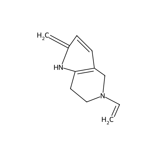 C=CN1CCC2=C(C=CC(=C)N2)C1